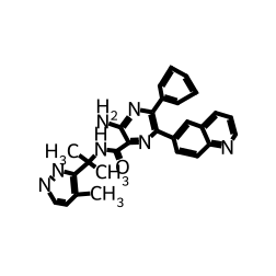 Cc1ccnnc1C(C)(C)NC(=O)c1nc(-c2ccc3ncccc3c2)c(-c2ccccc2)nc1N